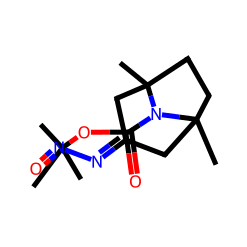 CC(C)(C)OC(=O)N1C2(C)CCC1(C)CC(=NN=O)C2